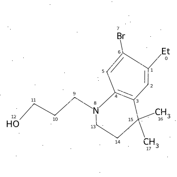 CCc1cc2c(cc1Br)N(CCCO)CCC2(C)C